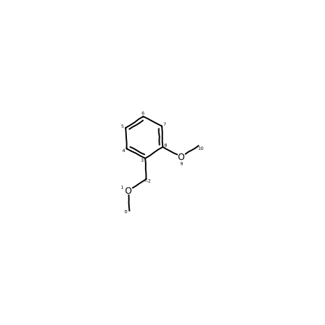 CO[C]c1ccccc1OC